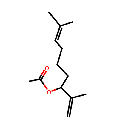 C=C(C)C(CCCC=C(C)C)OC(C)=O